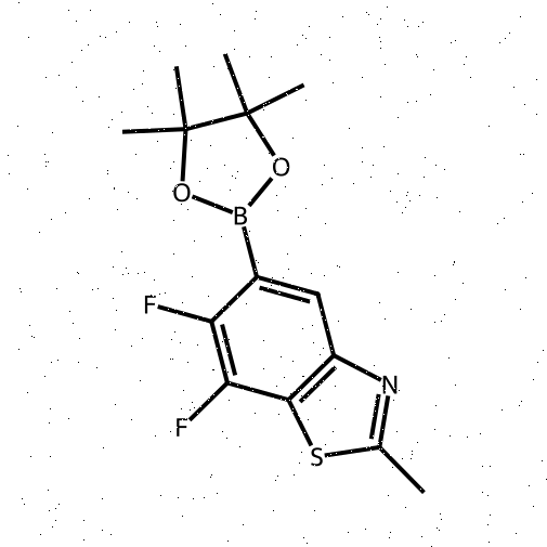 Cc1nc2cc(B3OC(C)(C)C(C)(C)O3)c(F)c(F)c2s1